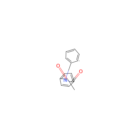 O=c1c2ccc(cc2)c(=O)n1-c1[c]cccc1